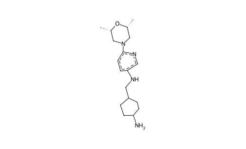 C[C@@H]1CN(c2ccc(NCC3CCC(N)CC3)cn2)C[C@H](C)O1